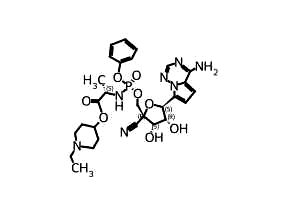 CCN1CCC(OC(=O)[C@H](C)NP(=O)(OC[C@@]2(C#N)O[C@@H](c3ccc4c(N)ncnn34)[C@H](O)[C@@H]2O)Oc2ccccc2)CC1